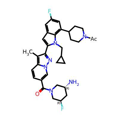 CC(=O)N1CCC(c2cc(F)cc3cc(-c4nn5cc(C(=O)N6C[C@H](N)C[C@@H](F)C6)ccc5c4C)n(CC4CC4)c23)CC1